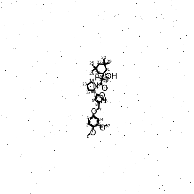 COc1ccc(OCc2cc([C@@H]3CCCN3C(=O)C(F)(F)C3(O)CC(C)(C)CC(C)(C)C3)on2)cc1OC